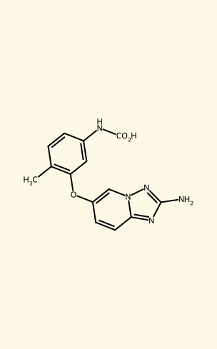 Cc1ccc(NC(=O)O)cc1Oc1ccc2nc(N)nn2c1